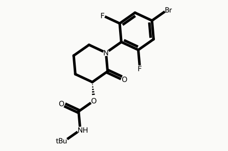 CC(C)(C)NC(=O)O[C@@H]1CCCN(c2c(F)cc(Br)cc2F)C1=O